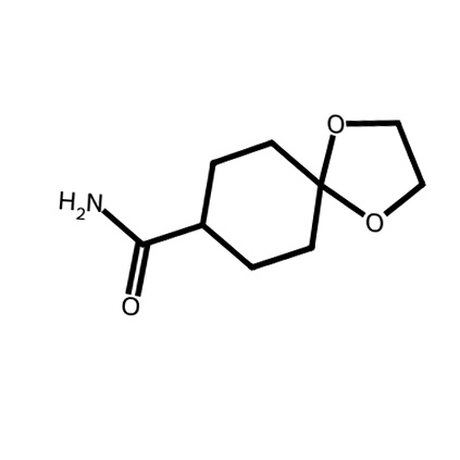 NC(=O)C1CCC2(CC1)OCCO2